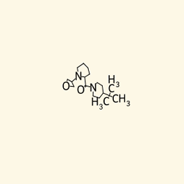 CC(C)(C)C1CCN(C(=O)C2CCCCN2C2COC2)CC1